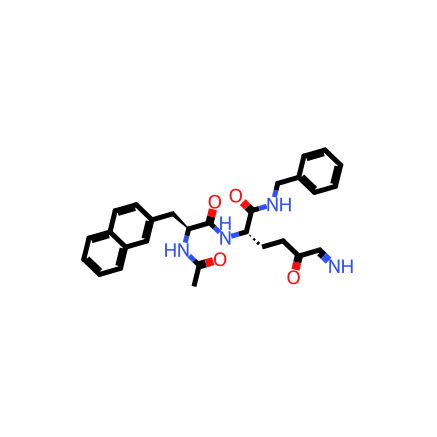 CC(=O)N[C@@H](Cc1ccc2ccccc2c1)C(=O)N[C@@H](CCC(=O)C=N)C(=O)NCc1ccccc1